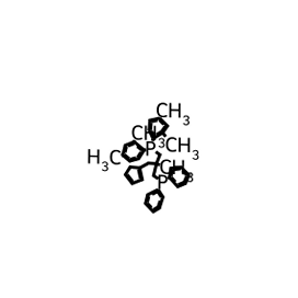 Cc1ccc(P(CC(C)(CC2=CC=CC2)CP(c2ccccc2)c2ccccc2)c2ccc(C)cc2C)c(C)c1